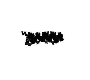 CCC(C)CCC(C(N)=O)C(C)CCC(C(N)=O)C(C)CCC(C(N)=O)C(C)CCC(C(N)=O)C(C)CCC(C(N)=O)C(C)CCC(C(N)=O)C(C)CCC(C(N)=O)C(C)CCC(C(N)=O)C(C)CCC(C(N)=O)C(C)C